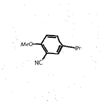 COc1ccc([C](C)C)cc1C#N